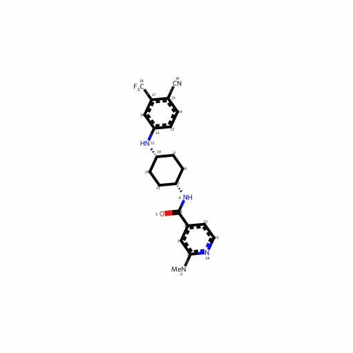 CNc1cc(C(=O)N[C@H]2CC[C@@H](Nc3ccc(C#N)c(C(F)(F)F)c3)CC2)ccn1